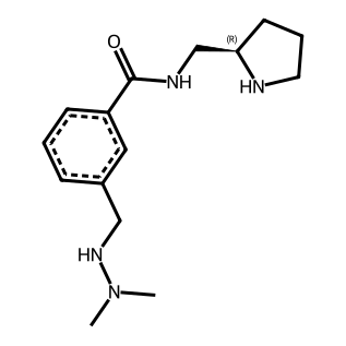 CN(C)NCc1cccc(C(=O)NC[C@H]2CCCN2)c1